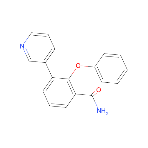 NC(=O)c1cccc(-c2cccnc2)c1Oc1ccccc1